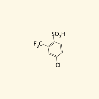 O=S(=O)(O)c1ccc(Cl)cc1C(F)(F)F